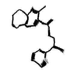 C=C(CCC(=C)c1cc2c(cc1C)CCCC2)c1ccccn1